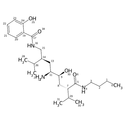 CCCCNC(=O)[C@@H](C[C@H](O)[C@@H](N)C[C@H](CNC(=O)c1ccccc1O)C(C)C)C(C)C